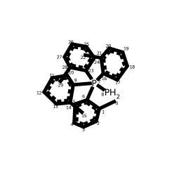 Cc1ccccc1P(P)(c1ccccc1C)(c1ccccc1C)c1ccccc1C